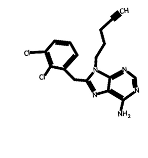 C#CCCCn1c(Cc2cccc(Cl)c2Cl)nc2c(N)ncnc21